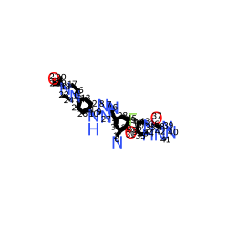 N#Cc1cc(-c2ncnc(Nc3ccc(N4CCN(C5COC5)CC4)cc3)n2)ccc1O[C@H]1CCN(C(=O)c2nnc[nH]2)C[C@@H]1F